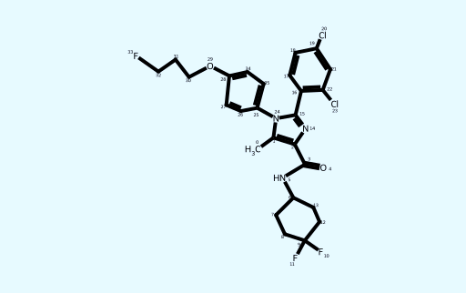 Cc1c(C(=O)NC2CCC(F)(F)CC2)nc(-c2ccc(Cl)cc2Cl)n1-c1ccc(OCCCF)cc1